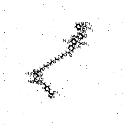 Cc1cc(Nc2ncc(Cl)c(Nc3ccccc3S(=O)(=O)C(C)C)n2)c(OC(C)C)cc1C1CCN(C(=O)COCCOCCOCCOCCOCC(=O)N[C@H](C(=O)N2C[C@H](O)C[C@H]2C(=O)NCc2ccc(-c3scnc3C)cc2)C(C)(C)C)CC1